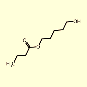 CCCC(=O)OCCCCCO